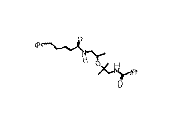 CC(C)CCCCC(=O)NCC(C)OC(C)(C)CNC(=O)C(C)C